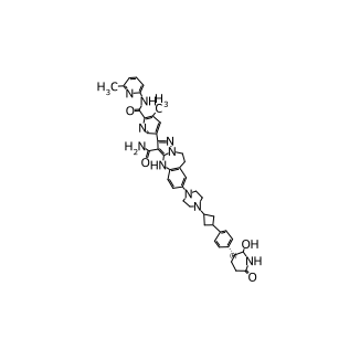 Cc1cccc(NC(=O)c2ncc(-c3nn4c(c3C(N)=O)Nc3ccc(N5CCN(C6CC(c7ccc([C@H]8CCC(=O)NC8O)cc7)C6)CC5)cc3CC4)cc2C)n1